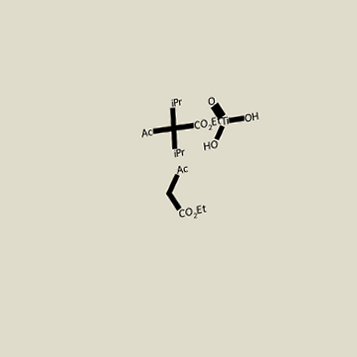 CCOC(=O)C(C(C)=O)(C(C)C)C(C)C.CCOC(=O)CC(C)=O.[O]=[Ti]([OH])[OH]